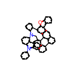 c1ccc(-c2cccc3cccc(-c4ccccc4CN(c4ccccc4-c4cccc5c4oc4ccccc45)c4cccc5c4c4ccccc4n5-c4ccccc4)c23)cc1